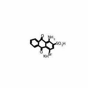 Nc1c(S(=O)(=O)O)cc(Br)c2c1C(=O)c1ccccc1C2=O.[KH]